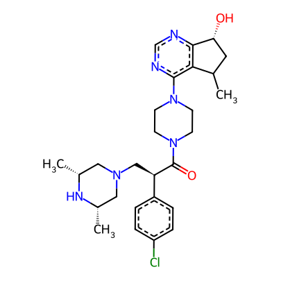 CC1C[C@@H](O)c2ncnc(N3CCN(C(=O)[C@H](CN4C[C@@H](C)N[C@@H](C)C4)c4ccc(Cl)cc4)CC3)c21